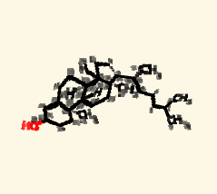 CC(C)CCC[C@@H](C)[C@H]1CC[C@H]2[C@@H]3CCC4=C[C@H](O)CC[C@]4(C)[C@H]3CC[C@]12C